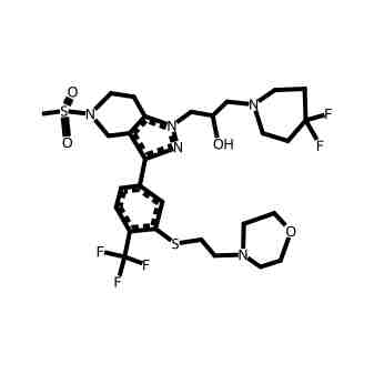 CS(=O)(=O)N1CCc2c(c(-c3ccc(C(F)(F)F)c(SCCN4CCOCC4)c3)nn2CC(O)CN2CCC(F)(F)CC2)C1